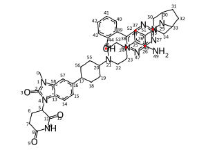 Cn1c(=O)n(C2CCC(=O)NC2=O)c2ccc(C3CCC(N4CCC(c5cnc(N6C7CCC6CN(c6cc(-c8ccccc8O)nnc6N)C7)nc5)CC4)CC3)cc21